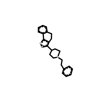 c1ccc(CCN2CCC(c3noc4c3CCc3ccccc3-4)CC2)cc1